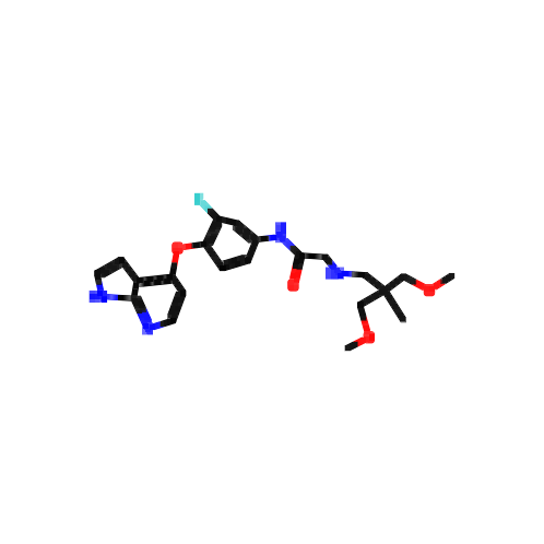 COCC(C)(CNCC(=O)Nc1ccc(Oc2ccnc3[nH]ccc23)c(F)c1)COC